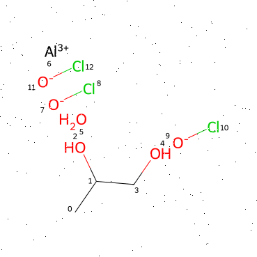 CC(O)CO.O.[Al+3].[O-]Cl.[O-]Cl.[O-]Cl